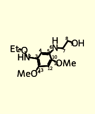 CCONc1cc(NCCO)c(OC)cc1OC